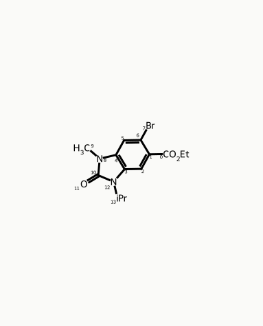 CCOC(=O)c1cc2c(cc1Br)n(C)c(=O)n2C(C)C